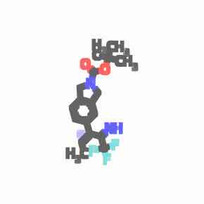 C/C=C(\C(=N)C(F)(F)F)c1ccc2c(c1)CN(C(=O)OC(C)(C)C)C2